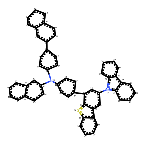 c1ccc2cc(-c3ccc(N(c4ccc(-c5cc(-n6c7ccccc7c7ccccc76)cc6c5sc5ccccc56)cc4)c4ccc5ccccc5c4)cc3)ccc2c1